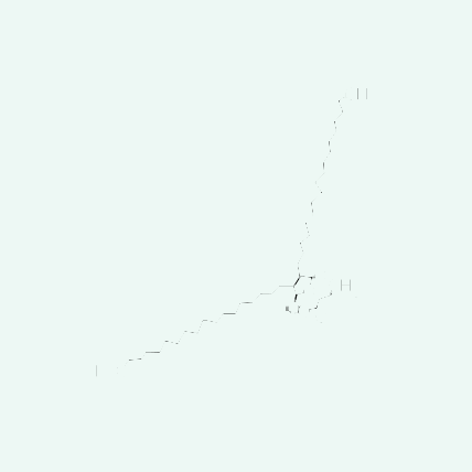 C=CCC(=O)O.CCCCCCCCCCCCCCCCCCC1=C(CCCCCCCCCCCCCCCCCC)C(=O)OC1=O